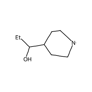 CCC(O)C1CC[N]CC1